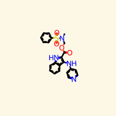 CN(COC(=O)c1[nH]c2ccccc2c1Nc1ccncc1)S(=O)(=O)c1ccccc1